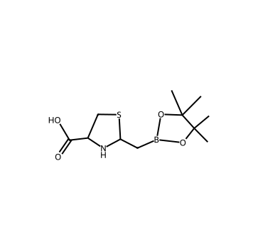 CC1(C)OB(CC2NC(C(=O)O)CS2)OC1(C)C